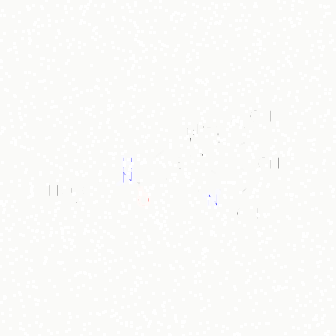 CCC[C@H](c1ccc(C(=O)NCCC(=O)O)cc1)[C@H](c1ccc(C)cc1)c1ccnc2c(C)cc(C)cc12